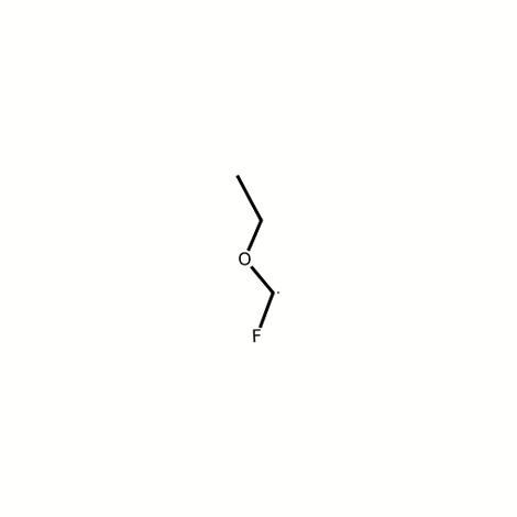 CCO[CH]F